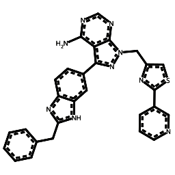 Nc1ncnc2c1c(-c1ccc3nc(Cc4ccccc4)[nH]c3c1)nn2Cc1csc(-c2cccnc2)n1